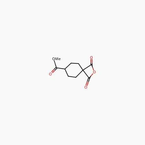 COC(=O)C1CCC2(CC1)C(=O)OC2=O